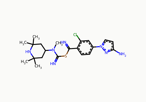 CN(C(=N)SC(=N)c1ccc(-n2ccc(N)n2)cc1Cl)C1CC(C)(C)NC(C)(C)C1